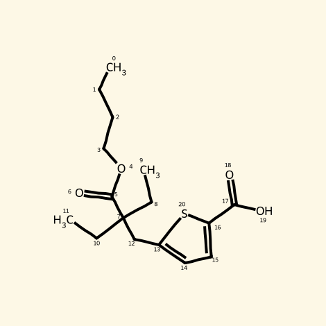 CCCCOC(=O)C(CC)(CC)Cc1ccc(C(=O)O)s1